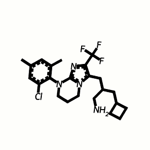 Cc1cc(C)c(N2CCCn3c2nc(C(F)(F)F)c3CC(CN)CC2CCC2)c(Cl)c1